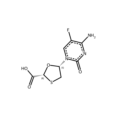 Nc1nc(=O)n([C@@H]2CS[C@H](C(=O)O)O2)cc1F